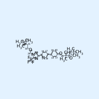 CC(C)(C)CC(=O)C(C)(C)COc1ccc(-c2ccc(-c3nc(C(F)(F)F)n(COCC[Si](C)(C)C)n3)nc2)cc1